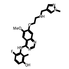 COc1cc2c(Nc3c(F)ccc(O)c3C)ncnc2cc1OCCNCc1cnn(C)c1